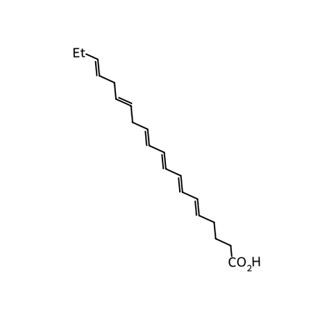 CC/C=C/C/C=C/C/C=C/C=C/C=C/C=C/CCCC(=O)O